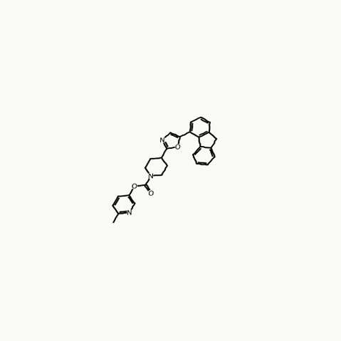 Cc1ccc(OC(=O)N2CCC(c3ncc(-c4cccc5c4-c4ccccc4C5)o3)CC2)cn1